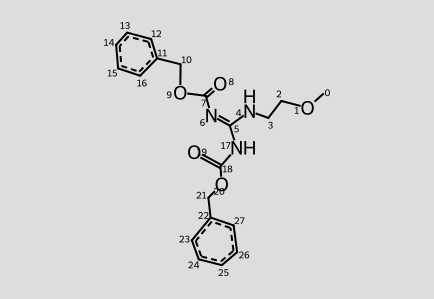 COCCN/C(=N\C(=O)OCc1ccccc1)NC(=O)OCc1ccccc1